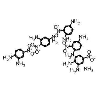 N.Nc1ccc(N)c([N+](=O)[O-])c1.Nc1ccc(N)c([N+](=O)[O-])c1.Nc1ccc([N+](=O)[O-])c(N)c1.Nc1ccc([N+](=O)[O-])cc1N.Nc1ccc([N+](=O)[O-])cc1N